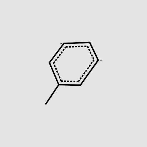 Cc1c[c]c[c]c1